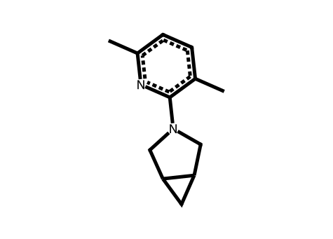 Cc1ccc(C)c(N2CC3CC3C2)n1